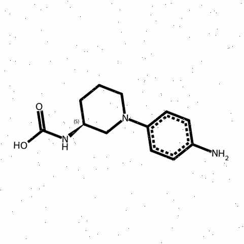 Nc1ccc(N2CCC[C@H](NC(=O)O)C2)cc1